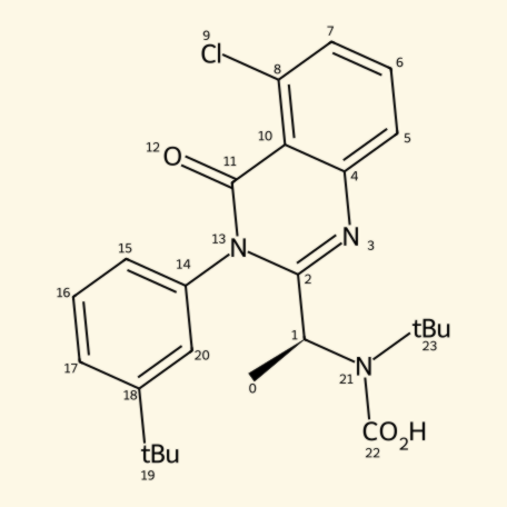 C[C@@H](c1nc2cccc(Cl)c2c(=O)n1-c1cccc(C(C)(C)C)c1)N(C(=O)O)C(C)(C)C